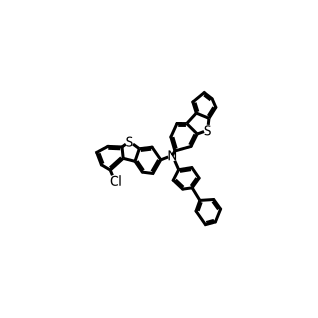 Clc1cccc2sc3cc(N(c4ccc(-c5ccccc5)cc4)c4ccc5c(c4)sc4ccccc45)ccc3c12